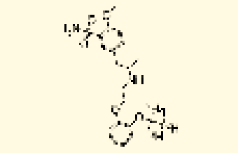 [2H]C([2H])([2H])C([2H])(C)Oc1ccccc1OCCN[C@H](C)Cc1ccc(OC)c(S(N)(=O)=O)c1